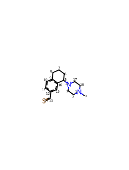 CN1CCN(C2CCCc3ccc(C=S)cc32)CC1